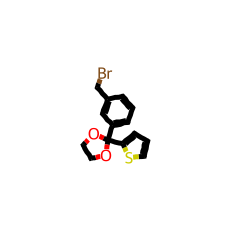 BrCc1cccc(C2(c3cccs3)OCCO2)c1